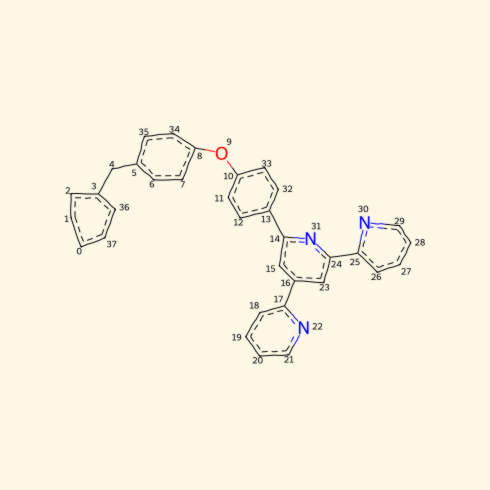 c1ccc(Cc2ccc(Oc3ccc(-c4cc(-c5ccccn5)cc(-c5ccccn5)n4)cc3)cc2)cc1